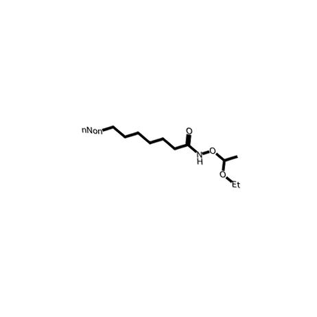 CCCCCCCCCCCCCCCC(=O)NOC(C)OCC